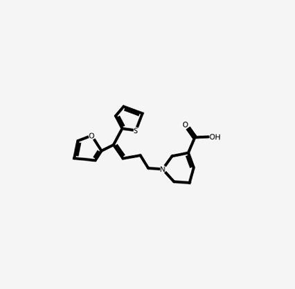 O=C(O)C1=CCCN(CCC=C(c2ccco2)c2cccs2)C1